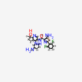 CC1(O)CCc2c1ncc(NC(=O)c1nc(-c3c(F)cccc3F)sc1N)c2N1CCCC(N)C1